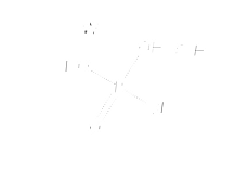 O=P(O)(O)O.[CsH].[W]